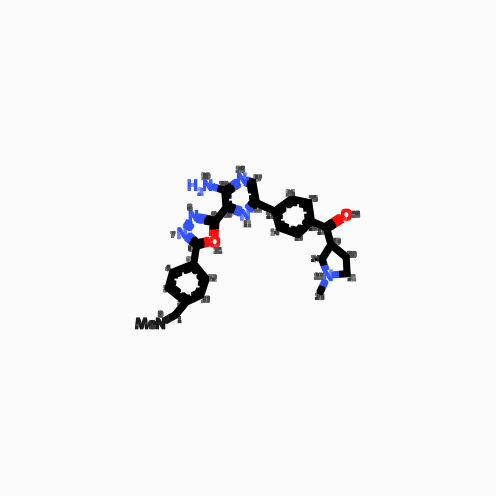 CNCc1ccc(-c2nnc(-c3nc(-c4ccc(C(=O)C5CCN(C)C5)cc4)cnc3N)o2)cc1